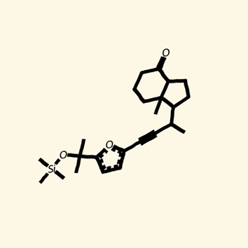 CC(C#Cc1ccc(C(C)(C)O[Si](C)(C)C)o1)C1CCC2C(=O)CCCC21C